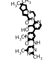 Cc1cc(Nc2cc(-c3ccnc(N4CCN5C(=CC6CC(C)(C)CC65)C4=O)c3CO)cn(C)c2=O)nc(C)n1